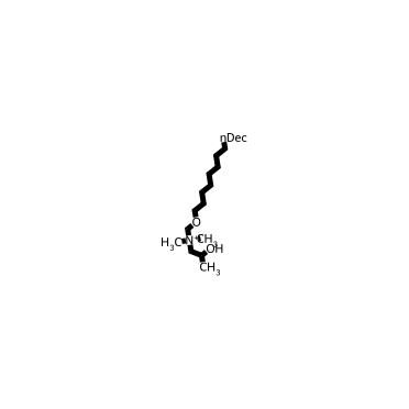 CCCCCCCCCCCCCCCCCCOC[N+](C)(C)CC(C)O